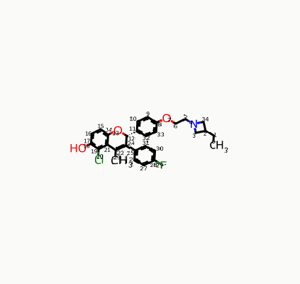 CCC1CN(CCOc2ccc([C@H]3Oc4ccc(O)c(Cl)c4C(C)=C3c3ccc(F)cc3)cc2)C1